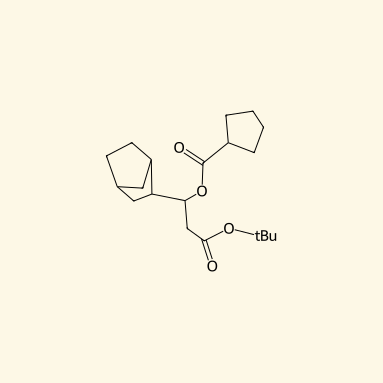 CC(C)(C)OC(=O)CC(OC(=O)C1CCCC1)C1CC2CCC1C2